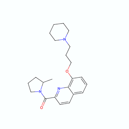 CC1CCCN1C(=O)c1ccc2cccc(OCCCN3CCCCC3)c2n1